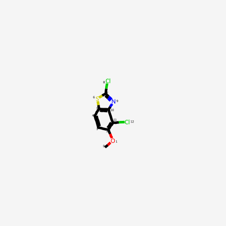 COc1ccc2sc(Cl)nc2c1Cl